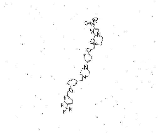 O=[N+]([O-])c1cn2c(n1)O[C@H](COc1ccc(N3CCN(Cc4cccc(OCc5ccc(C(F)(F)F)cc5)c4)CC3)cc1)CC2